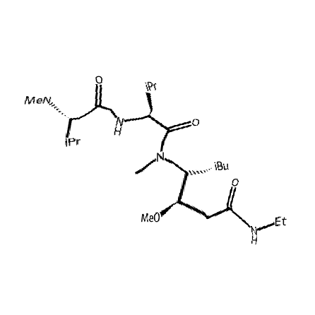 CCNC(=O)C[C@@H](OC)C([C@@H](C)CC)N(C)C(=O)[C@@H](NC(=O)[C@@H](NC)C(C)C)C(C)C